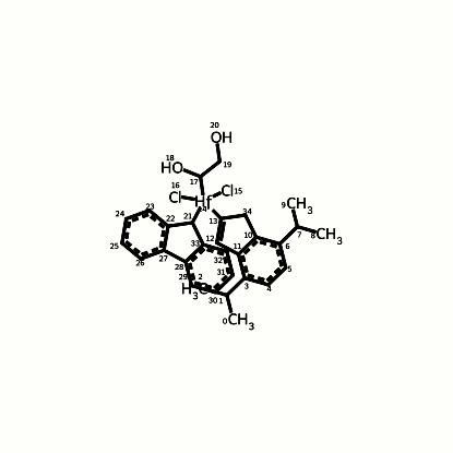 CC(C)c1ccc(C(C)C)c2c1C=[C]([Hf]([Cl])([Cl])([CH](O)CO)[CH]1c3ccccc3-c3ccccc31)C2